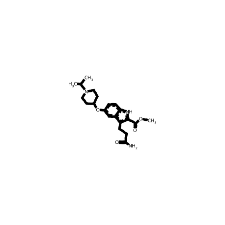 COC(=O)c1[nH]c2ccc(OC3CCN(C(C)C)CC3)cc2c1CCC(N)=O